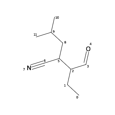 CCC(C=O)C(C#N)CC(C)C